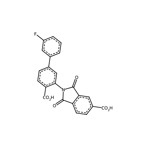 O=C(O)c1ccc2c(c1)C(=O)N(c1cc(-c3cccc(F)c3)ccc1C(=O)O)C2=O